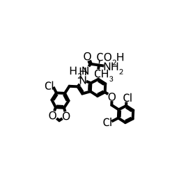 C[C@](N)(C(N)=O)C(=O)O.Clc1cc2c(cc1Cc1cc3cc(OCc4c(Cl)cccc4Cl)ccc3[nH]1)OCO2